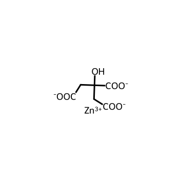 O=C([O-])CC(O)(CC(=O)[O-])C(=O)[O-].[Zn+3]